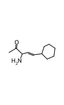 CC(=O)C(N)/C=C/C1CCCCC1